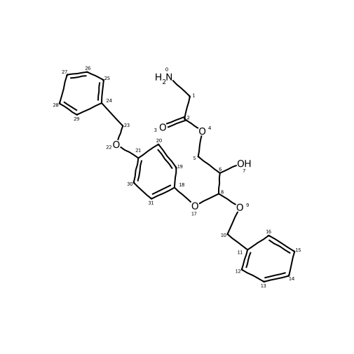 NCC(=O)OCC(O)C(OCc1ccccc1)Oc1ccc(OCc2ccccc2)cc1